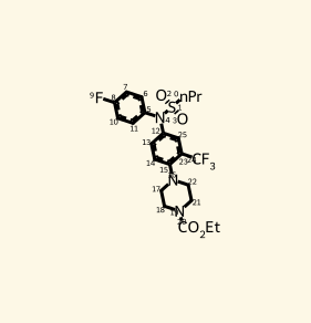 CCCS(=O)(=O)N(c1ccc(F)cc1)c1ccc(N2CCN(C(=O)OCC)CC2)c(C(F)(F)F)c1